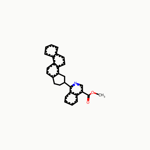 COC(=O)c1cnc(C2CCc3ccc4c(ccc5ccccc54)c3C2)c2ccccc12